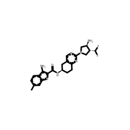 Cc1ccc2c(N)c(C(=O)N[C@@H]3CCc4nc(N5C[C@@H](N)[C@H](C(F)F)C5)ncc4C3)sc2c1